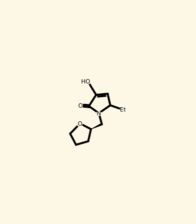 CCC1C=C(O)C(=O)N1C[C@H]1CCCO1